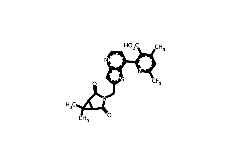 Cc1cc(C(F)(F)F)nc(-c2ccnc3cc(CN4C(=O)C5C(C4=O)C5(C)C)sc23)c1C(=O)O